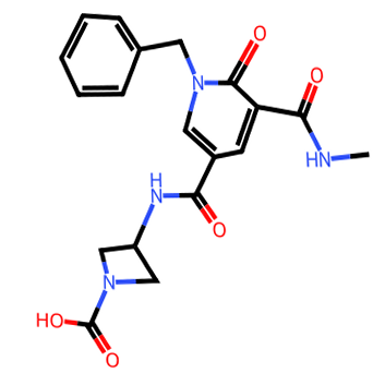 CNC(=O)c1cc(C(=O)NC2CN(C(=O)O)C2)cn(Cc2ccccc2)c1=O